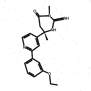 CCOc1cccc(-c2cc([C@]3(C)CC(=O)N(C)C(=N)N3)ccn2)c1